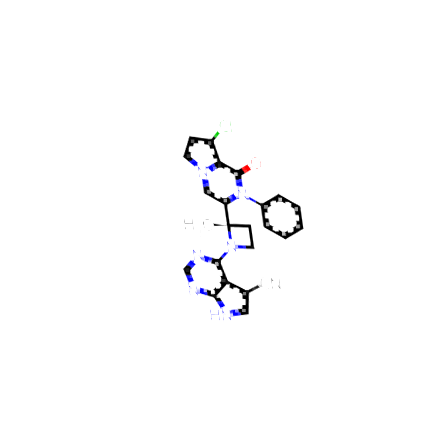 C[C@@]1(c2cn3ccc(Cl)c3c(=O)n2-c2ccccc2)CCN1c1ncnc2[nH]cc(C#N)c12